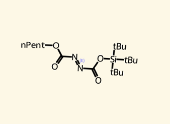 CCCCCOC(=O)/N=N/C(=O)O[Si](C(C)(C)C)(C(C)(C)C)C(C)(C)C